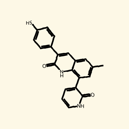 Cc1cc(-c2ccc[nH]c2=O)c2[nH]c(=O)c(-c3ccc(S)cc3)cc2c1